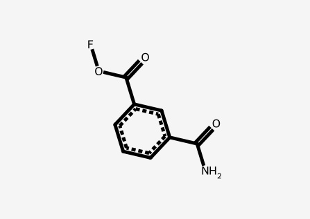 NC(=O)c1cccc(C(=O)OF)c1